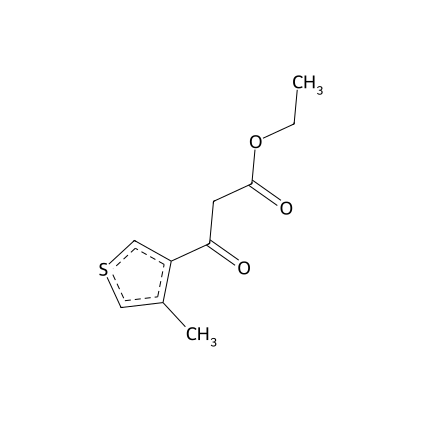 CCOC(=O)CC(=O)c1cscc1C